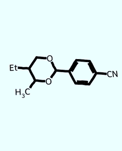 CCC1COC(c2ccc(C#N)cc2)OC1C